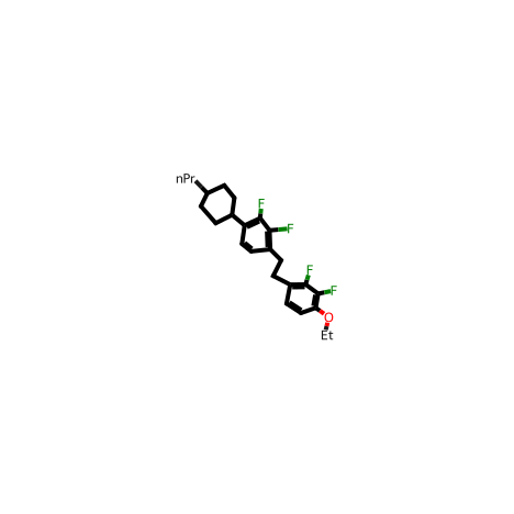 CCCC1CCC(c2ccc(CCc3ccc(OCC)c(F)c3F)c(F)c2F)CC1